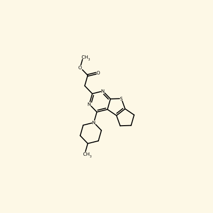 COC(=O)Cc1nc(N2CCC(C)CC2)c2c3c(sc2n1)CCC3